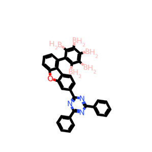 Bc1c(B)c(B)c(-c2cccc3oc4cc(-c5nc(-c6ccccc6)nc(-c6ccccc6)n5)ccc4c23)c(B)c1B